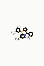 CN(C)[C@@H](C1=C(P(c2cc(C(F)(F)F)cc(C(F)(F)F)c2)c2cc(C(F)(F)F)cc(C(F)(F)F)c2)CC=C1)c1ccccc1